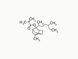 C=C(C)C(=O)OC1(C(C)CCC(C)CC)C2CC(C)=C3C(C2)CC31